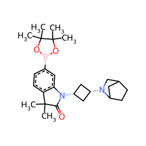 CC1(C)C(=O)N([C@H]2C[C@@H](N3CC4CCC3C4)C2)c2cc(B3OC(C)(C)C(C)(C)O3)ccc21